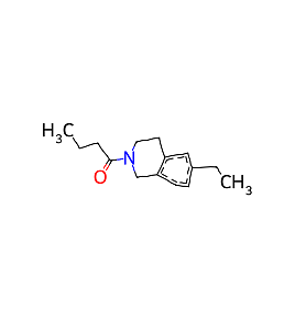 CCCC(=O)N1CCc2cc(CC)ccc2C1